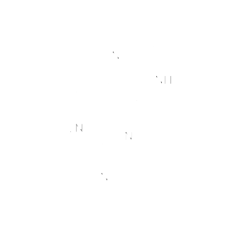 CN(C)c1ncc2nc[nH]c2n1